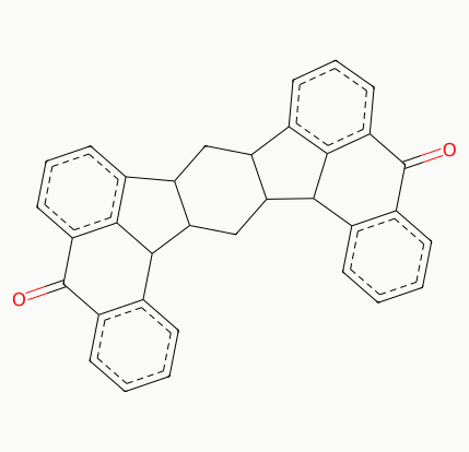 O=C1c2ccccc2C2c3c1cccc3C1CC3c4cccc5c4C(c4ccccc4C5=O)C3CC12